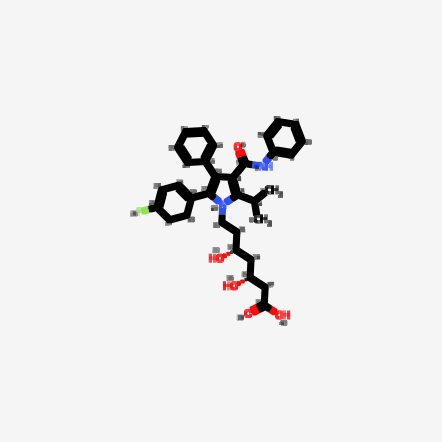 CC(C)c1c(C(=O)Nc2ccccc2)c(-c2ccccc2)c(C2=CC=C(F)CC2)n1CC[C@@H](O)C[C@@H](O)CC(=O)O